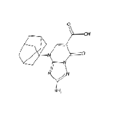 Nc1nc2n(C34CC5CC(CC(C5)C3)C4)cc(C(=O)O)c(=O)n2n1